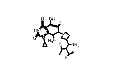 CC1c2c(c(=O)[nH]c(=O)n2C2CC2)C(O)=C(F)C1N1CCC(C(N)C(C(F)F)C(F)F)C1